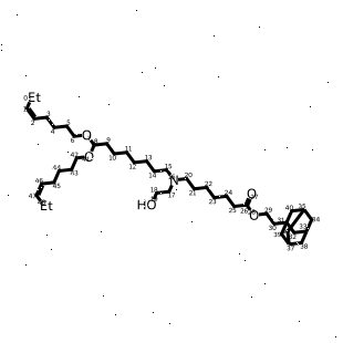 CC/C=C\CCCCOC(CCCCCCCN(CCO)CCCCCCC(=O)OCCC12CC3CC(CC(C3)C1)C2)OCCCC/C=C\CC